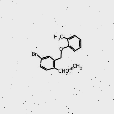 C=C.Cc1ccccc1OCc1cc(Br)ccc1C=O